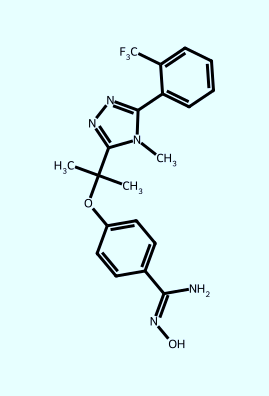 Cn1c(-c2ccccc2C(F)(F)F)nnc1C(C)(C)Oc1ccc(/C(N)=N/O)cc1